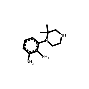 CC1(C)CNCCN1c1cccc(N)c1N